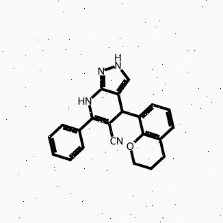 N#CC1=C(c2ccccc2)Nc2n[nH]cc2C1c1cccc2c1OCCC2